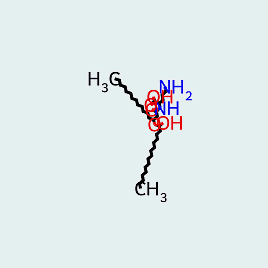 CCCCCCCCCCCCCCCC(O)OC(CCCCCCCCCCCCC)CC(=O)NC(CCCN)C(=O)O